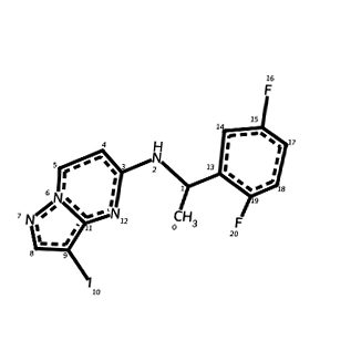 CC(Nc1ccn2ncc(I)c2n1)c1cc(F)ccc1F